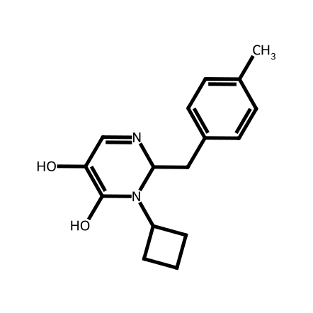 Cc1ccc(CC2N=CC(O)=C(O)N2C2CCC2)cc1